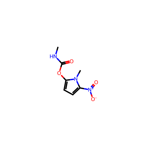 CNC(=O)Oc1ccc([N+](=O)[O-])n1C